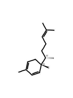 CC(C)=CCC[C@H](C)[C@]1(I)C=CC(C)=CC1